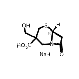 O=C1C[C@H]2SCC(CO)(C(=O)O)CN12.[NaH]